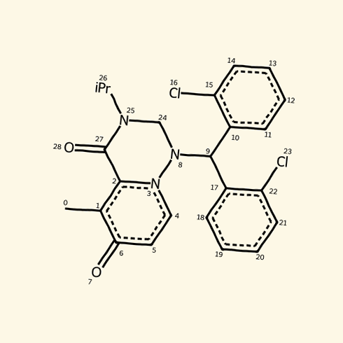 Cc1c2n(ccc1=O)N(C(c1ccccc1Cl)c1ccccc1Cl)CN(C(C)C)C2=O